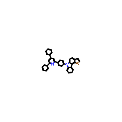 c1ccc(-c2cc(-c3ccccc3)nc(-c3ccc(-n4c5ccccc5c5c6sccc6ccc54)cc3)c2)cc1